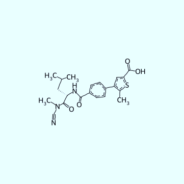 Cc1sc(C(=O)O)cc1-c1ccc(C(=O)N[C@@H](CC(C)C)C(=O)N(C)C#N)cc1